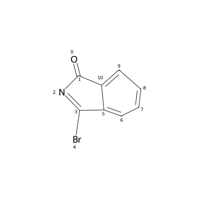 O=C1N=C(Br)c2ccccc21